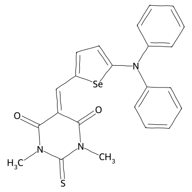 CN1C(=O)C(=Cc2ccc(N(c3ccccc3)c3ccccc3)[se]2)C(=O)N(C)C1=S